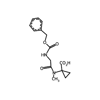 CN(C(=O)CNC(=O)OCc1ccccc1)C1(C(=O)O)CC1